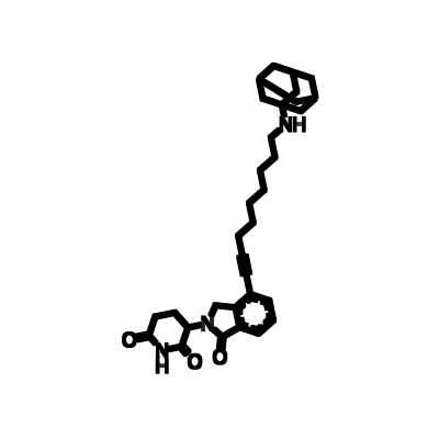 O=C1CCC(N2Cc3c(C#CCCCCCCCNC45CC6CC(CC(C6)C4)C5)cccc3C2=O)C(=O)N1